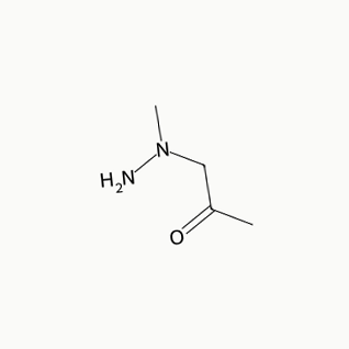 CC(=O)CN(C)N